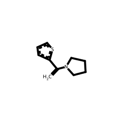 C=C(c1cccs1)N1CCCC1